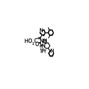 Cc1cccc(C)c1-c1cncc([C@H](CC(=O)O)NC(=O)[C@@H](CC(C)C)N2CC(c3ccccn3)CCC2=O)c1